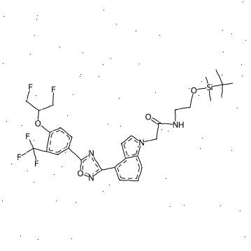 CC(C)(C)[Si](C)(C)OCCNC(=O)Cn1ccc2c(-c3noc(-c4ccc(OC(CF)CF)c(C(F)(F)F)c4)n3)cccc21